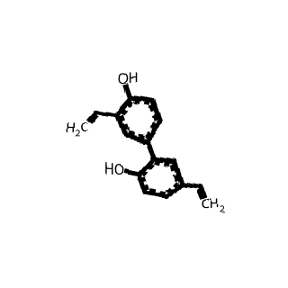 C=Cc1ccc(O)c(-c2ccc(O)c(C=C)c2)c1